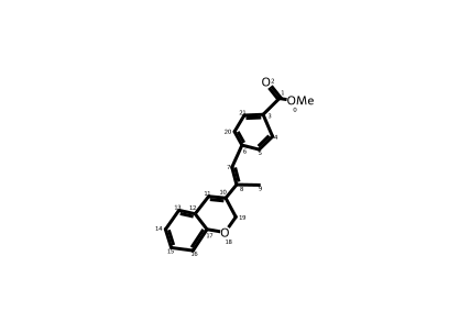 COC(=O)c1ccc(C=C(C)C2=Cc3ccccc3OC2)cc1